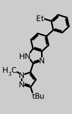 CCc1ccccc1-c1ccc2[nH]c(-c3cc(C(C)(C)C)nn3C)nc2c1